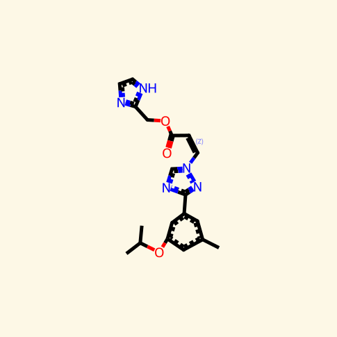 Cc1cc(OC(C)C)cc(-c2ncn(/C=C\C(=O)OCc3ncc[nH]3)n2)c1